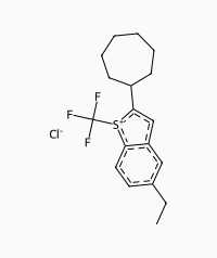 CCc1ccc2c(c1)cc(C1CCCCCC1)[s+]2C(F)(F)F.[Cl-]